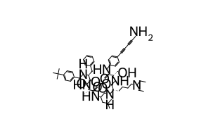 CCN(CC)CCCC[C@H](NC(=O)C(CC(C)C)NC(=O)[C@H](C)NC(=O)[C@H](Cc1ccccc1)NC(=O)c1ccc(C(C)(C)C)cc1)C(=O)N[C@@H](CO)C(=O)Nc1ccc(C#CC#CCN)cc1